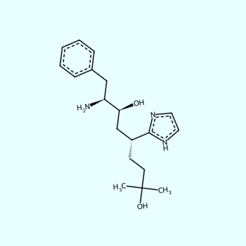 CC(C)(O)CC[C@H](C[C@H](O)[C@@H](N)Cc1ccccc1)c1ncc[nH]1